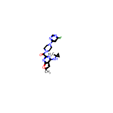 Cc1cc2c(NC3(C)CC3)nc(C(=O)N3CCN(c4cc(F)ncn4)CC3)nc2o1